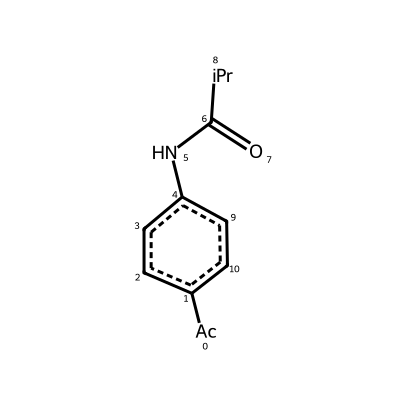 CC(=O)c1ccc(NC(=O)C(C)C)cc1